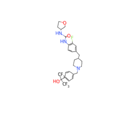 O=C(Nc1ccc(CC2CCN(Cc3ccc(C(O)(C(F)(F)F)C(F)(F)F)cc3)CC2)cc1F)N[C@@H]1CCOC1